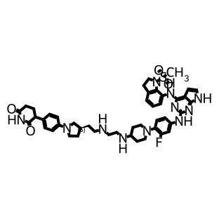 CS(=O)(=O)N1CCc2cccc(Nc3nc(Nc4ccc(N5CCC(NCCNCC[C@H]6CCN(c7ccc(C8CCC(=O)NC8=O)cc7)C6)CC5)c(F)c4)nc4[nH]ccc34)c21